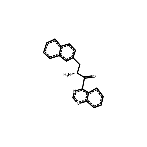 N[C@H](Cc1ccc2ccccc2c1)C(=O)c1ncnc2ccccc12